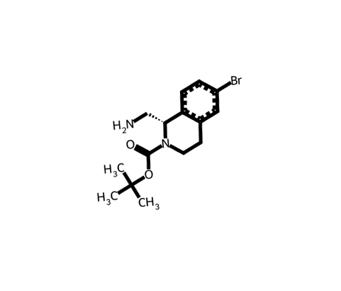 CC(C)(C)OC(=O)N1CCc2cc(Br)ccc2[C@H]1CN